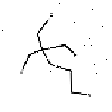 FCC(CF)(CF)CCCI